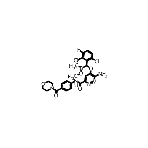 COB(C)C(Oc1cc(C(=O)Nc2ccc(C(=O)N3CCOCC3)cc2)nnc1N)c1c(Cl)ccc(F)c1Cl